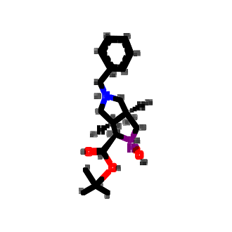 CC(C)(C)OC(=O)[C@H]1[C@H]2CN(Cc3ccccc3)C[C@H]2C[PH]1=O